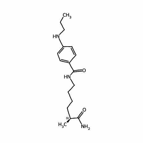 CCCNc1ccc(C(=O)NCCCC[C@H](C)C(N)=O)cc1